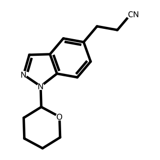 N#CCCc1ccc2c(cnn2C2CCCCO2)c1